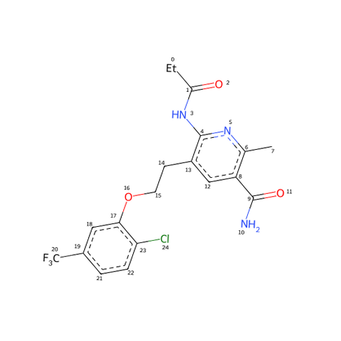 CCC(=O)Nc1nc(C)c(C(N)=O)cc1CCOc1cc(C(F)(F)F)ccc1Cl